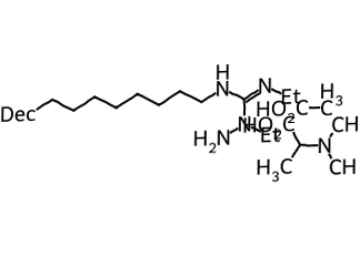 CC(=O)O.CC(C(=O)O)N(C)C.CCCCCCCCCCCCCCCCCCNC(=NCC)N(N)CC